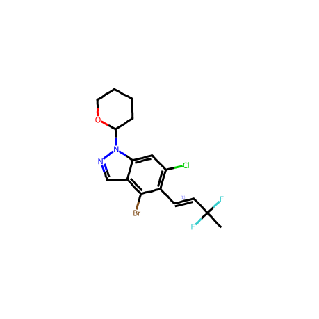 CC(F)(F)/C=C/c1c(Cl)cc2c(cnn2C2CCCCO2)c1Br